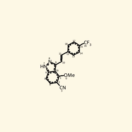 COc1c(C#N)ccc2[nH]nc(/C=C/c3ccc(C(F)(F)F)cc3)c12